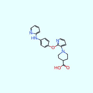 O=C(O)C1CCN(c2cccnc2Oc2ccc(Nc3ccccn3)cc2)CC1